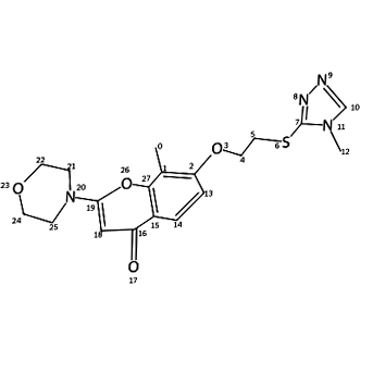 Cc1c(OCCSc2nncn2C)ccc2c(=O)cc(N3CCOCC3)oc12